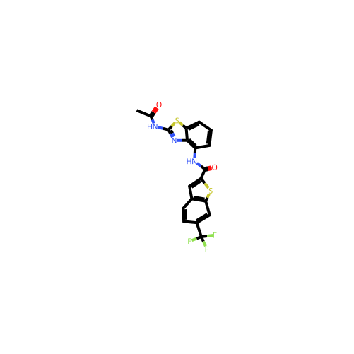 CC(=O)Nc1nc2c(NC(=O)c3cc4ccc(C(F)(F)F)cc4s3)cccc2s1